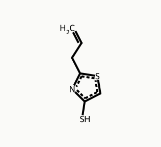 C=CCc1nc(S)cs1